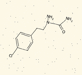 NC(=O)N(N)CCc1ccc(Cl)cc1